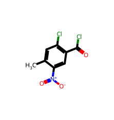 Cc1cc(Cl)c(C(=O)Cl)cc1[N+](=O)[O-]